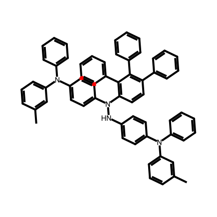 Cc1cccc(N(c2ccccc2)c2ccc(NN(c3ccc(N(c4ccccc4)c4cccc(C)c4)cc3)c3ccc(-c4ccccc4)c(-c4ccccc4)c3-c3ccccc3)cc2)c1